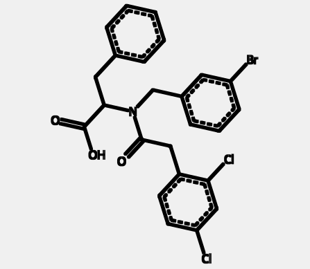 O=C(O)C(Cc1ccccc1)N(Cc1cccc(Br)c1)C(=O)Cc1ccc(Cl)cc1Cl